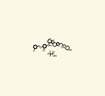 O=C(O)C(F)(F)F.O[C@H](CN1CCNCC1)Cn1cc2c(n1)CCc1c-2sc2ncnc(Nc3ccc(OCc4cccc(F)c4)c(Cl)c3)c12